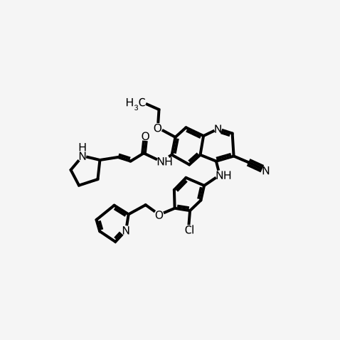 CCOc1cc2ncc(C#N)c(Nc3ccc(OCc4ccccn4)c(Cl)c3)c2cc1NC(=O)/C=C/C1CCCN1